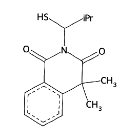 CC(C)C(S)N1C(=O)c2ccccc2C(C)(C)C1=O